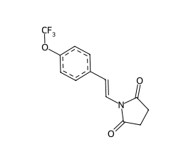 O=C1CCC(=O)N1/C=C/c1ccc(OC(F)(F)F)cc1